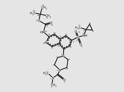 CN(C)C(=O)N1CCN(c2cc(S(=O)(=O)NC3(C)CC3)cc3cc(NC(=O)OC(C)(C)C)ncc23)CC1